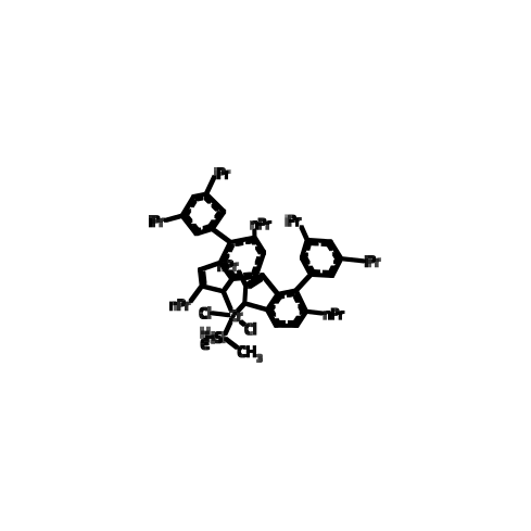 CCCC1=Cc2c(ccc(CCC)c2-c2cc(C(C)C)cc(C(C)C)c2)[CH]1[Zr]([Cl])([Cl])([CH]1C(CCC)=Cc2c1ccc(CCC)c2-c1cc(C(C)C)cc(C(C)C)c1)[SiH](C)C